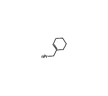 C[CH]CCC1=CCCCC1